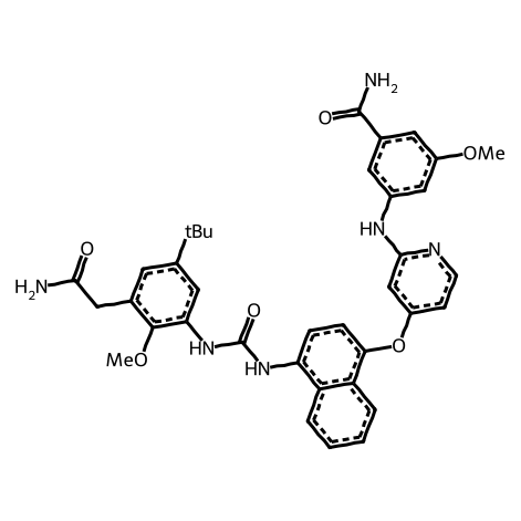 COc1cc(Nc2cc(Oc3ccc(NC(=O)Nc4cc(C(C)(C)C)cc(CC(N)=O)c4OC)c4ccccc34)ccn2)cc(C(N)=O)c1